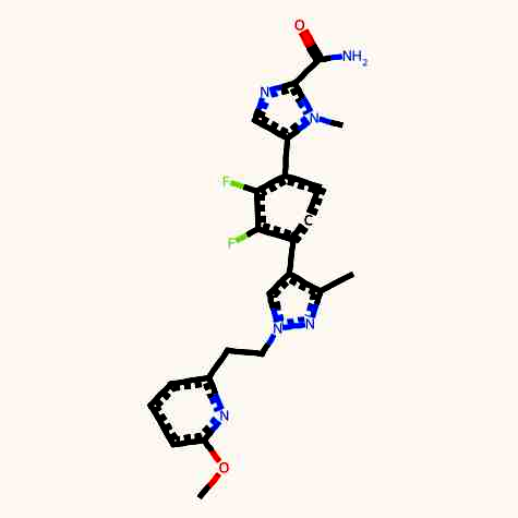 COc1cccc(CCn2cc(-c3ccc(-c4cnc(C(N)=O)n4C)c(F)c3F)c(C)n2)n1